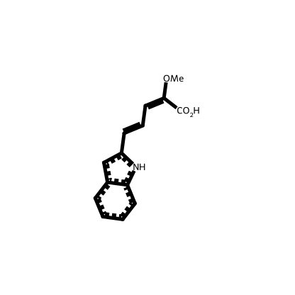 COC(=CC=Cc1cc2ccccc2[nH]1)C(=O)O